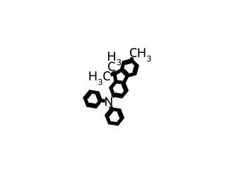 Cc1ccc2c(c1)C(C)(C)C1CC(N(C3=CCCC=C3)c3ccccc3)=CC=C21